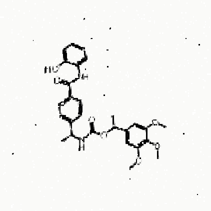 COc1cc([C@H](C)OC(=O)N[C@@H](C)c2ccc(C(=O)Nc3ccccc3O)cc2)cc(OC)c1OC